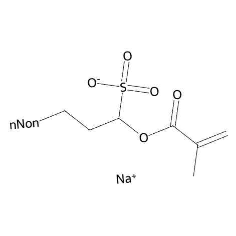 C=C(C)C(=O)OC(CCCCCCCCCCC)S(=O)(=O)[O-].[Na+]